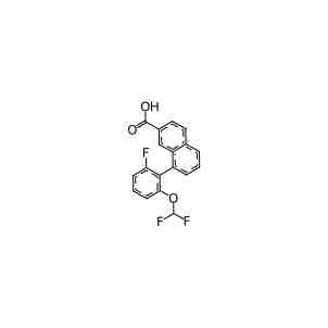 O=C(O)c1ccc2cccc(-c3c(F)cccc3OC(F)F)c2c1